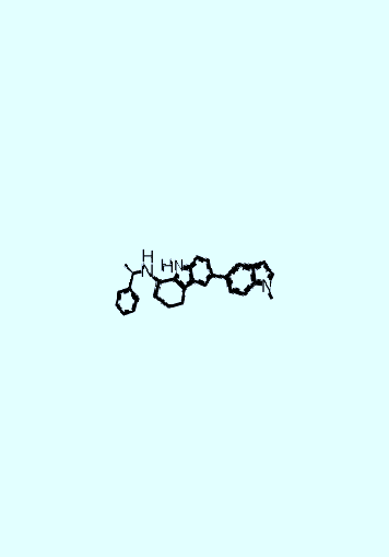 C[C@@H](NC1CCCc2c1[nH]c1ccc(-c3ccc4c(ccn4C)c3)cc21)c1ccccc1